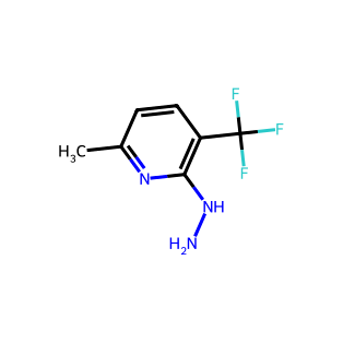 Cc1ccc(C(F)(F)F)c(NN)n1